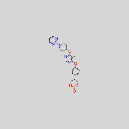 Cc1c(Oc2ccc([C@H]3CO[S@](=O)OC3)cc2)ncnc1OC1CCN(c2ncccn2)CC1